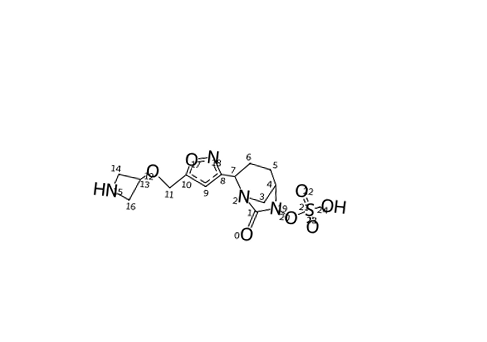 O=C1N2CC(CCC2c2cc(COC3CNC3)on2)N1OS(=O)(=O)O